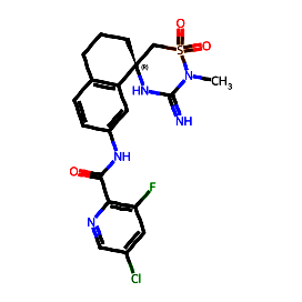 CN1C(=N)N[C@@]2(CCCc3ccc(NC(=O)c4ncc(Cl)cc4F)cc32)CS1(=O)=O